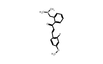 COc1ccc(C=CC(=O)c2ccccc2CN(C)C)c(F)c1